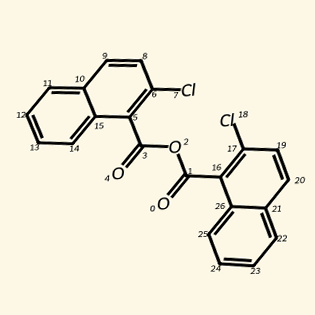 O=C(OC(=O)c1c(Cl)ccc2ccccc12)c1c(Cl)ccc2ccccc12